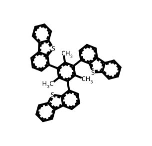 Cc1c(-c2cccc3c2sc2ccccc23)c(C)c(-c2cccc3c2sc2ccccc23)c(C)c1-c1cccc2c1sc1ccccc12